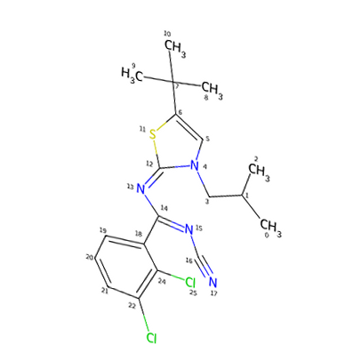 CC(C)Cn1cc(C(C)(C)C)sc1=NC(=NC#N)c1cccc(Cl)c1Cl